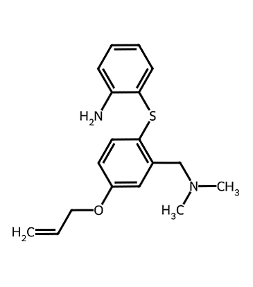 C=CCOc1ccc(Sc2ccccc2N)c(CN(C)C)c1